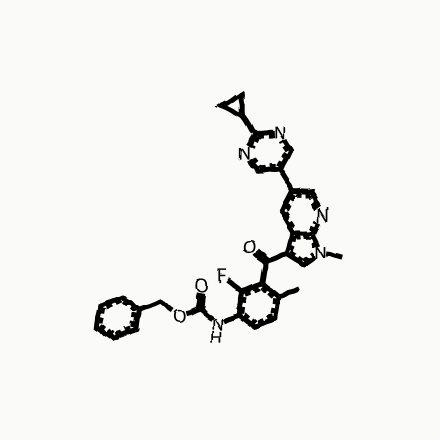 Cc1ccc(NC(=O)OCc2ccccc2)c(F)c1C(=O)c1cn(C)c2ncc(-c3cnc(C4CC4)nc3)cc12